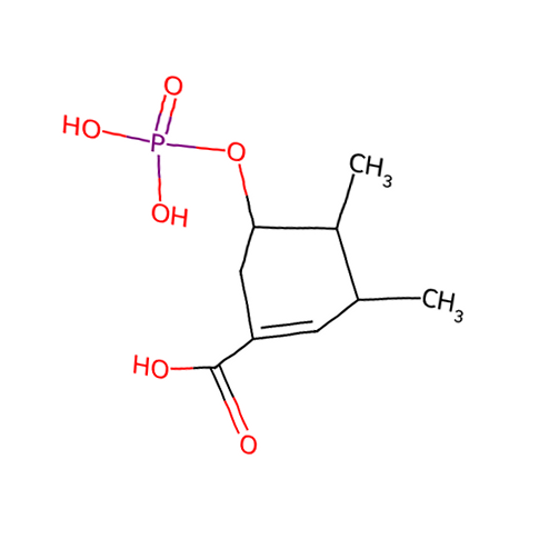 CC1C=C(C(=O)O)CC(OP(=O)(O)O)C1C